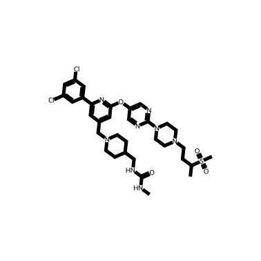 CNC(=O)NCC1CCN(Cc2cc(Oc3cnc(N4CCN(CCC(C)S(C)(=O)=O)CC4)nc3)nc(-c3cc(Cl)cc(Cl)c3)c2)CC1